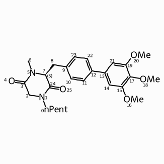 CCCCCN1CC(=O)N(C)[C@@H](Cc2ccc(-c3cc(OC)c(OC)c(OC)c3)cc2)C1=O